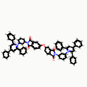 O=C1c2ccc(Oc3ccc4c(c3)C(=O)N(c3cccc(-[n+]5c(-c6ccccc6)cc(-c6ccccc6)cc5-c5ccccc5)c3)C4=O)cc2C(=O)N1c1cccc(-[n+]2c(-c3ccccc3)cc(-c3ccccc3)cc2-c2ccccc2)c1